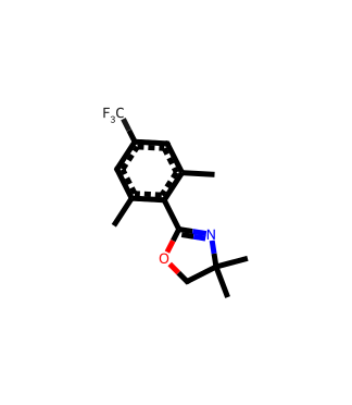 Cc1cc(C(F)(F)F)cc(C)c1C1=NC(C)(C)CO1